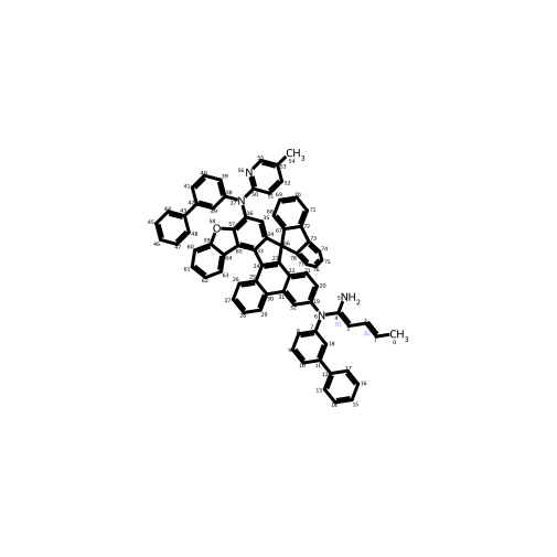 C/C=C/C=C(\N)N(c1cccc(-c2ccccc2)c1)c1ccc2c3c(c4ccccc4c2c1)-c1c(cc(N(c2cccc(-c4ccccc4)c2)c2ccc(C)cn2)c2oc4ccccc4c12)C31c2ccccc2-c2ccccc21